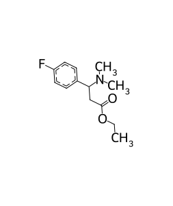 CCOC(=O)CC(c1ccc(F)cc1)N(C)C